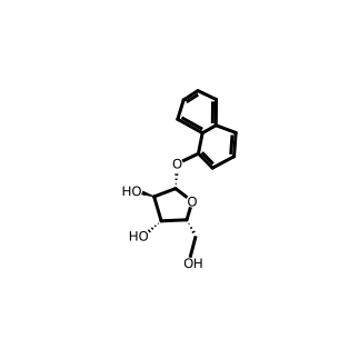 OC[C@H]1O[C@@H](Oc2cccc3ccccc23)[C@H](O)[C@H]1O